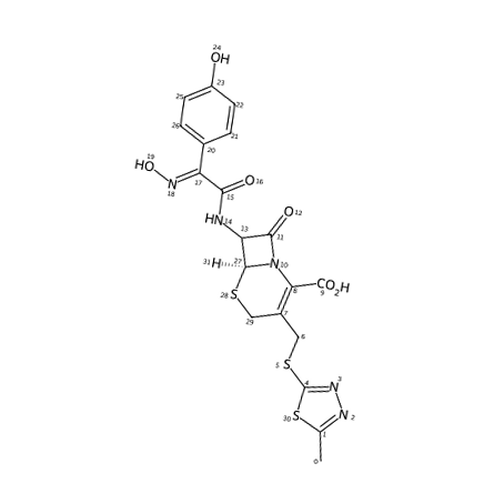 Cc1nnc(SCC2=C(C(=O)O)N3C(=O)C(NC(=O)C(=NO)c4ccc(O)cc4)[C@@H]3SC2)s1